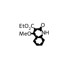 CCOC(=O)c1c(OC)c2ccccc2[nH]c1=O